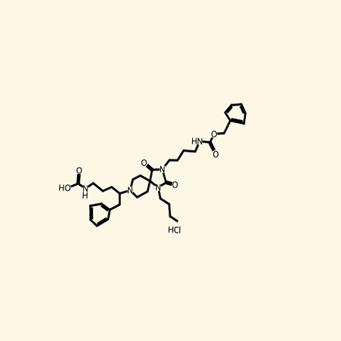 CCCCN1C(=O)N(CCCCNC(=O)OCc2ccccc2)C(=O)C12CCN(C(CCCNC(=O)O)Cc1ccccc1)CC2.Cl